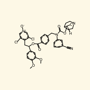 COc1ccc(C(Cc2c(Cl)c[n+]([O-])cc2Cl)OC(=O)c2ccc(CN(C(=O)O[C@H]3CN4CCC3CC4)c3cccc(C#N)c3)cc2)cc1OC